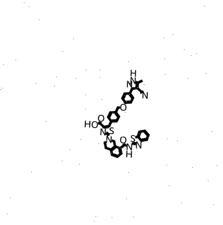 Cc1[nH]nc(-c2ccc(OCc3ccc(-c4sc(N5CCc6cccc(C(=O)Nc7nc8ccccc8s7)c6C5)nc4C(=O)O)cc3)cc2)c1C#N